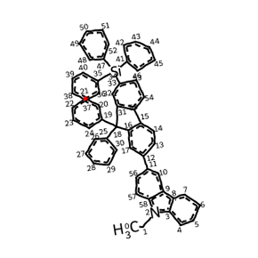 CCn1c2ccccc2c2cc(-c3ccc4c(c3)C(c3ccccc3)(c3ccccc3)c3cc([Si](c5ccccc5)(c5ccccc5)c5ccccc5)ccc3-4)ccc21